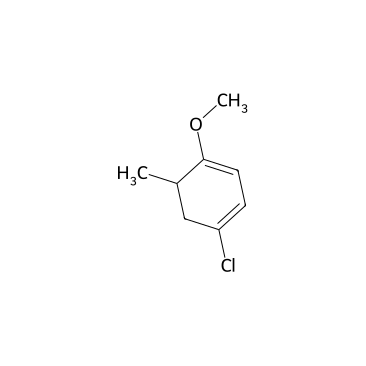 COC1=CC=C(Cl)CC1C